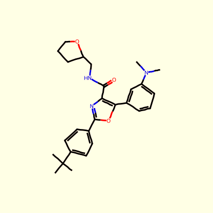 CN(C)c1cccc(-c2oc(-c3ccc(C(C)(C)C)cc3)nc2C(=O)NCC2CCCO2)c1